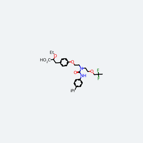 CCOC(Cc1ccc(OCCN(CCOCC(C)(F)F)C(=O)Nc2ccc(C(C)C)cc2)cc1)C(=O)O